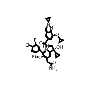 CCOc1c(CC(N)=O)cc([C@@](O)(CNC(=O)c2cc(OC3CC3)c3nn(C4CC4)cc3c2)C2CC2)nc1-c1ccc(Cl)c(F)c1